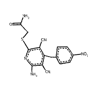 N#Cc1c(N)nc(SCC(N)=O)c(C#N)c1-c1ccc([N+](=O)[O-])cc1